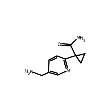 NCc1ccc(C2(C(N)=O)CC2)nc1